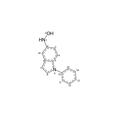 ONc1ccc2c(ccn2-c2ccccc2)c1